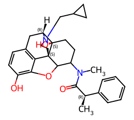 C[C@@H](C(=O)N(C)C1CC[C@@]2(O)[C@H]3Cc4ccc(O)c5c4[C@@]2(CCN3CC2CC2)C1O5)c1ccccc1